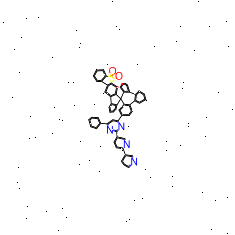 O=S1(=O)c2ccccc2-c2cc3c(cc21)C1(c2ccccc2-c2ccccc2-c2ccc(-c4cc(-c5ccccc5)nc(-c5ccc(-c6cccnc6)nc5)n4)cc21)c1ccccc1-3